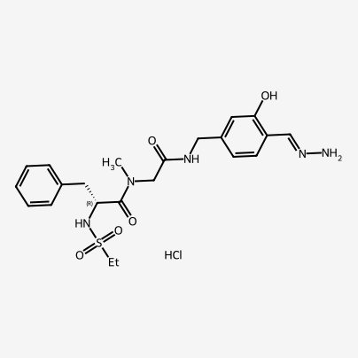 CCS(=O)(=O)N[C@H](Cc1ccccc1)C(=O)N(C)CC(=O)NCc1ccc(C=NN)c(O)c1.Cl